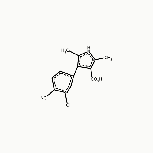 Cc1[nH]c(C)c(-c2ccc(C#N)c(Cl)c2)c1C(=O)O